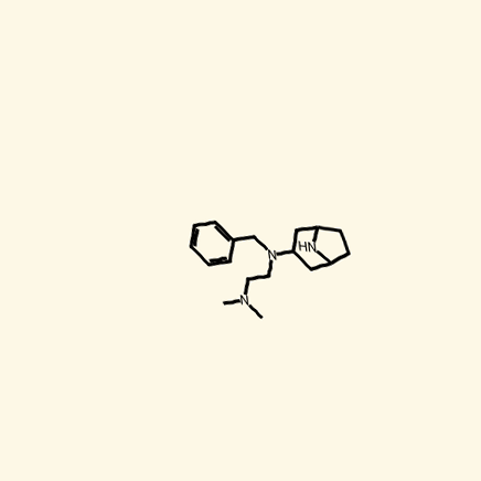 CN(C)CCN(Cc1ccccc1)C1CC2CCC(C1)N2